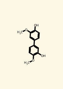 COc1ccc(-c2ccc(O)c(OC)c2)cc1O